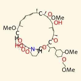 COCCO[C@@H]1CC[C@@H](C[C@@H](C)[C@@H]2CC(=O)[C@H](C)/C=C(\C)[C@@H](O)[C@@H](OC)C(=O)[C@H](C)C[C@H](C)/C=C/C=C/C=C(\C)[C@@H](OC)C[C@@H]3CC[C@@H](C)[C@@](O)(O3)C(=O)C(=O)N3CCCC[C@H]3CO2)C[C@H]1OC